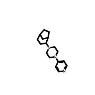 c1cc(N2CCN(C3CCC4CCC3C4)CC2)ccn1